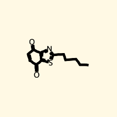 CCCCCc1nc2c(s1)C(=O)C=CC2=O